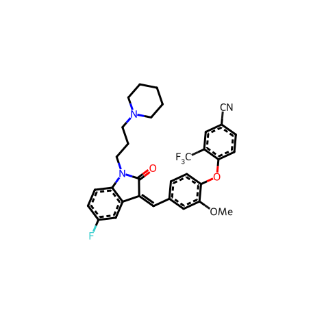 COc1cc(C=C2C(=O)N(CCCN3CCCCC3)c3ccc(F)cc32)ccc1Oc1ccc(C#N)cc1C(F)(F)F